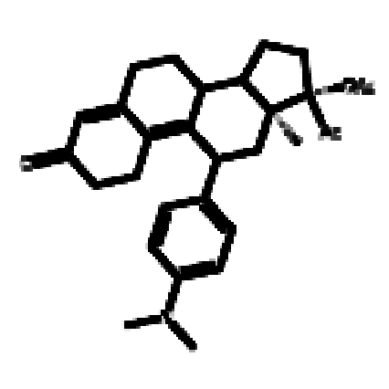 CC(=O)O[C@@]1(C(C)=O)CCC2C3CCC4=CC(=O)CCC4=C3C(c3ccc(N(C)C)cc3)C[C@@]21C